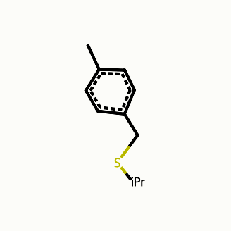 Cc1ccc(CSC(C)C)cc1